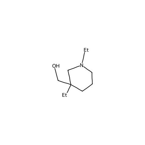 CCN1CCCC(CC)(CO)C1